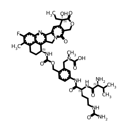 CC[C@@]1(O)C(=O)OCc2c1cc1n(c2=O)Cc2c-1nc1cc(F)c(C)c3c1c2[C@@H](NC(=O)OCc1ccc(NC(=O)[C@H](CCCNC(N)=O)NC(=O)[C@@H](N)C(C)C)cc1CN(C)C(=O)O)CC3